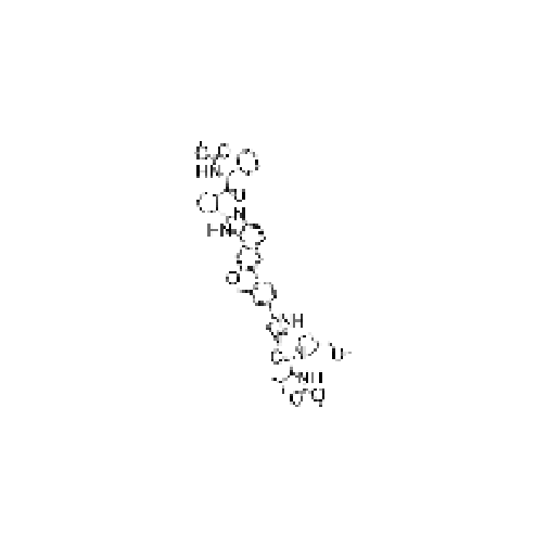 COC[C@H]1C[C@@H](c2ncc(-c3ccc4c(c3)COc3cc5c(ccc6nc([C@@H]7CCCC7C(=O)[C@H](NC(=O)OC)c7ccccc7)[nH]c65)cc3-4)[nH]2)N(C(=O)[C@@H](NC(=O)OC)C(C)C)C1